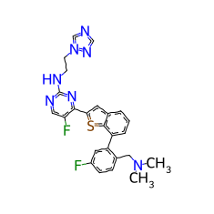 CN(C)Cc1ccc(F)cc1-c1cccc2cc(-c3nc(NCCn4cncn4)ncc3F)sc12